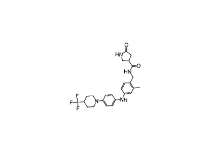 Cc1cc(Nc2ccc(N3CCC(C(F)(F)F)CC3)cc2)ccc1CNC(=O)C1CNC(=O)C1